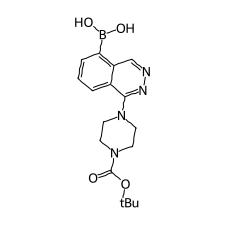 CC(C)(C)OC(=O)N1CCN(c2nncc3c(B(O)O)cccc23)CC1